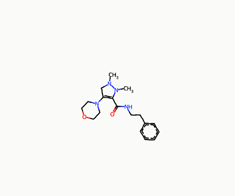 CN1CC(N2CCOCC2)=C(C(=O)NCCc2ccccc2)N1C